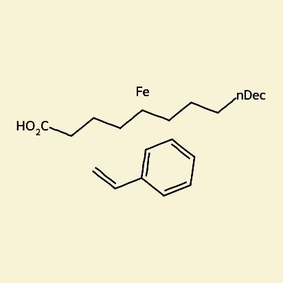 C=Cc1ccccc1.CCCCCCCCCCCCCCCCCC(=O)O.[Fe]